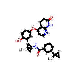 N#CC1(c2cccc(C(=O)N[C@@]34C[C@H]3[C@H]4c3cc(Oc4ccnc5c4CCC(=O)N5)ccc3O)c2)CC1